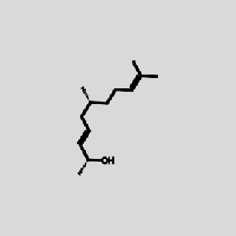 CC(C)=CCC[C@@H](C)C/C=C/[C@@H](C)O